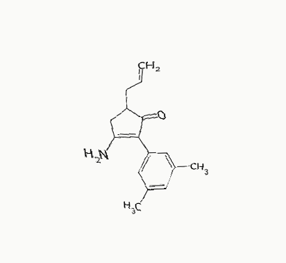 C=CCC1CC(N)=C(c2cc(C)cc(C)c2)C1=O